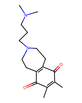 CC1=C(C)C(=O)C2=C(CCN(CCCN(C)C)CC2)C1=O